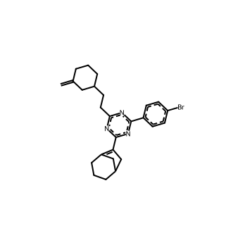 C=C1CCCC(CCc2nc(C3=C4CCCC(C4)C3)nc(-c3ccc(Br)cc3)n2)C1